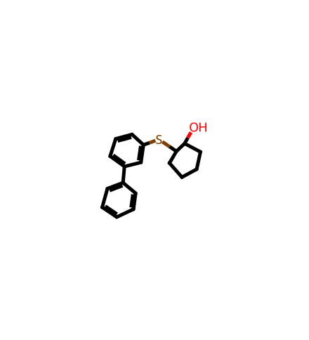 OC1CCCCC1Sc1cccc(-c2ccccc2)c1